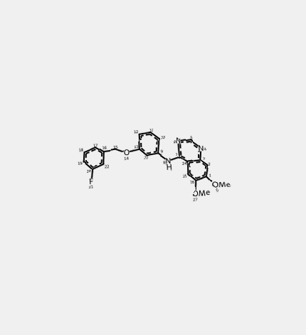 COc1cc2ncnc(Nc3cccc(OCc4cccc(F)c4)c3)c2cc1OC